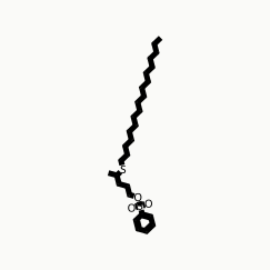 CCCCCCCCCCCCCCCCCCSC(C)CCCOS(=O)(=O)c1ccccc1